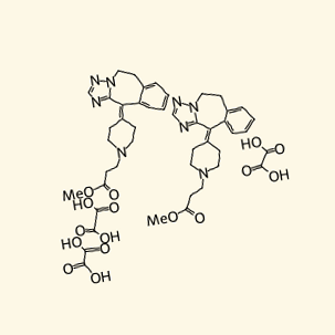 COC(=O)CCN1CCC(=C2c3ccccc3CCn3ncnc32)CC1.COC(=O)CCN1CCC(=C2c3ccccc3CCn3ncnc32)CC1.O=C(O)C(=O)O.O=C(O)C(=O)O.O=C(O)C(=O)O